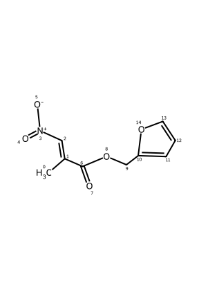 CC(=C[N+](=O)[O-])C(=O)OCc1ccco1